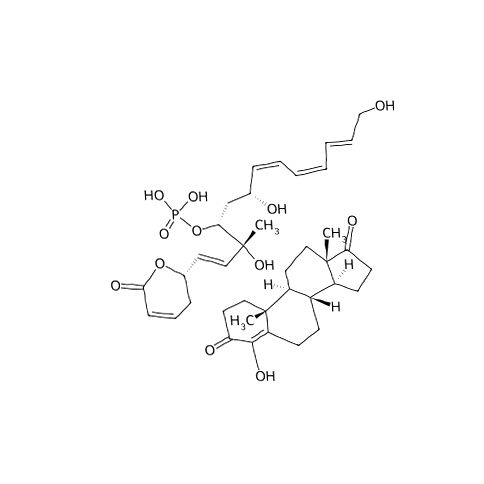 C[C@@](O)(/C=C/[C@@H]1CC=CC(=O)O1)[C@@H](C[C@@H](O)\C=C/C=C\C=C\CO)OP(=O)(O)O.C[C@]12CCC(=O)C(O)=C1CC[C@@H]1[C@@H]2CC[C@]2(C)C(=O)CC[C@@H]12